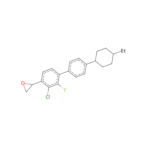 CCC1CCC(c2ccc(-c3ccc(C4CO4)c(Cl)c3F)cc2)CC1